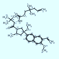 C=CCC(C)(C)COC(=O)N[C@H](C(=O)N1C[C@](OC)(c2ccc3cc(OC)c(C=C)cc3c2)C[C@H]1C)C(C)(C)C